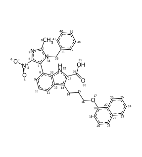 Cc1nc([N+](=O)[O-])c(-c2cccc3c(CCCOc4cccc5ccccc45)c(C(=O)O)[nH]c23)n1Cc1ccccc1